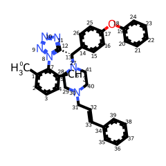 Cc1cccc(C)c1-n1nnnc1[C@H](c1ccc(Oc2ccccc2)cc1)N1CCN(C/C=C/c2ccccc2)CC1